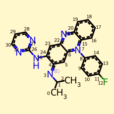 CC(C)/N=c1\cc2n(-c3ccc(F)cc3)c3ccccc3nc-2cc1Nc1ncccn1